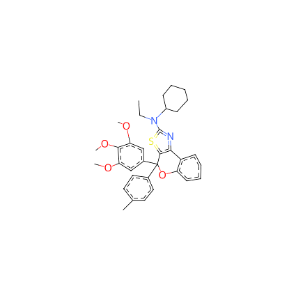 CCN(c1nc2c(s1)C(c1ccc(C)cc1)(c1cc(OC)c(OC)c(OC)c1)Oc1ccccc1-2)C1CCCCC1